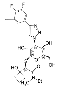 CCN(C)C(=O)[C@H](S[C@@H]1O[C@H](CO)[C@H](O)[C@H](n2cc(-c3cc(F)c(F)c(F)c3)nn2)[C@H]1O)C1(O)CCC1